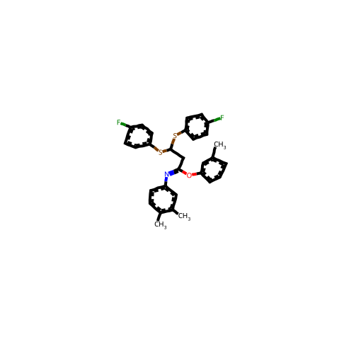 Cc1cccc(O/C(CC(Sc2ccc(F)cc2)Sc2ccc(F)cc2)=N\c2ccc(C)c(C)c2)c1